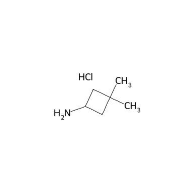 CC1(C)CC(N)C1.Cl